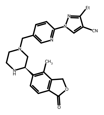 CCc1nn(-c2ccc(CN3CCN[C@H](c4ccc5c(c4C)COC5=O)C3)cn2)cc1C#N